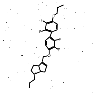 CCCOc1ccc(-c2ccc(OCC3=CCC4C(CCC)CCC34)c(F)c2F)c(F)c1F